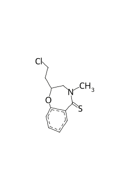 CN1CC(CCCl)Oc2ccccc2C1=S